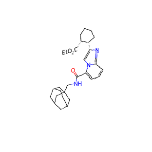 CCOC(=O)[C@@H]1CCCC[C@@H]1c1cn2c(C(=O)NCC34CC5CC(CC(C5)C3)C4)cccc2n1